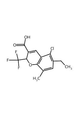 CCc1cc(C)c2c(c1Cl)C=C(C(=O)O)C(C(F)(F)F)O2